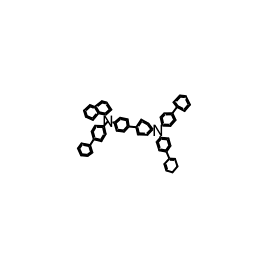 C1=CC(c2ccc(N(c3ccc(-c4ccccc4)cc3)c3ccc(-c4ccc(N(c5ccc(-c6ccccc6)cc5)c5cccc6ccccc56)cc4)cc3)cc2)=CCC1